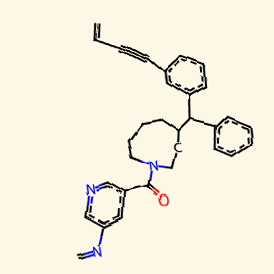 C=CC#Cc1cccc(C(c2ccccc2)C2CCCCN(C(=O)c3cncc(N=C)c3)CC2)c1